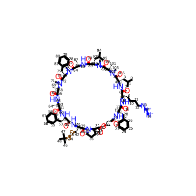 CC(C)C[C@@H]1NC(=O)[C@H](CCCCN=[N+]=[N-])NC(=O)[C@H](Cc2ccccc2)NC(=O)COC(=O)[C@@H]2CCCN2C(=O)[C@H](CSSC(C)(C)C)NC(=O)[C@H](Cc2ccccc2)NC(=O)[C@H](C)NC(=O)[C@H](C)N(C)C(=O)[C@H](Cc2ccccc2)N(C)C(=O)[C@H](C)NC(=O)[C@H](CC(C)C)N(C)C(=O)[C@H](C)N(C)C1=O